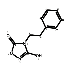 O=c1onc(O)n1CCc1ccccc1